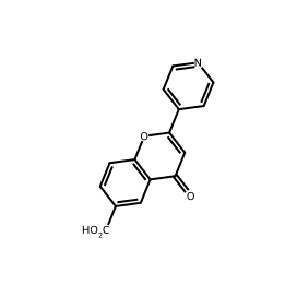 O=C(O)c1ccc2oc(-c3ccncc3)cc(=O)c2c1